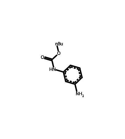 CCCCOC(=O)Nc1cccc(N)c1